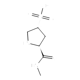 CNC(=O)[C@@H]1C[C@@H](S(=O)(=O)O)CN1